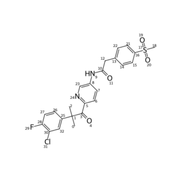 CC(C)(C(=O)c1ccc(NC(=O)Cc2ccc(S(C)(=O)=O)cc2)cn1)c1ccc(F)c(Cl)c1